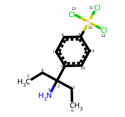 CCC(N)(CC)c1ccc(S(Cl)(Cl)Cl)cc1